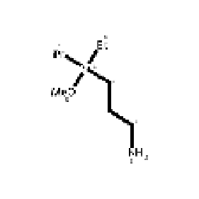 CC[Si](CCCN)(OC)C(C)C